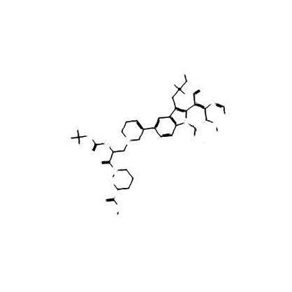 C=C/C(=C(\N=C/C)[C@H](C)OC)c1c(CC(C)(C)CO)c2cc(C3=CCCN(CC(NC(=O)OC(C)(C)C)C(=O)N4CCC[C@@H](C(=O)OC)N4)C3)ccc2n1CC